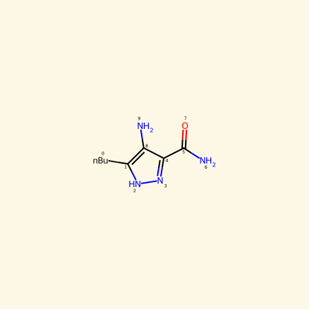 CCCCc1[nH]nc(C(N)=O)c1N